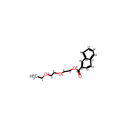 CCOCCOCCOC(=O)c1ccc2ccccc2c1